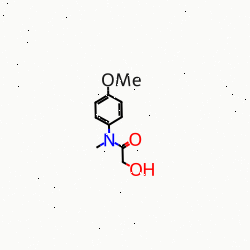 COc1ccc(N(C)C(=O)CO)cc1